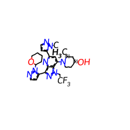 C[C@@H]1C[C@H](O)CCN1c1cc(-c2ccnn2C)nc2c(-c3ccnn3C3CCCCO3)nn(CC(F)(F)F)c12